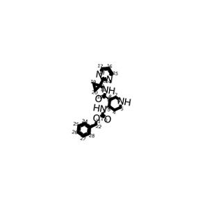 O=C(N[C@H]1CCNC[C@@H]1C(=O)NC1(c2ncccn2)CC1)OCc1ccccc1